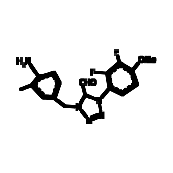 COc1ccc(N2N=NN(Cc3ccc(N)c(C)c3)C2C=O)c(F)c1F